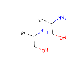 CC(C)C(N)CO.CC(C)C(N)CO